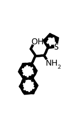 NC(c1cccs1)C(CO)c1ccc2ccccc2c1